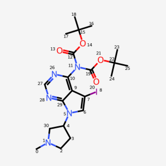 CN1CCC(n2cc(I)c3c(N(C(=O)OC(C)(C)C)C(=O)OC(C)(C)C)ncnc32)C1